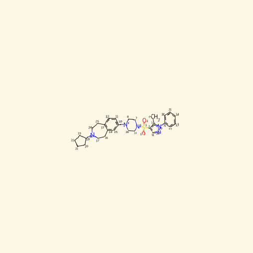 Cc1c(S(=O)(=O)N2CCN(c3ccc4c(c3)CCN(C3CCCC3)CC4)CC2)cnn1-c1ccccc1